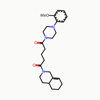 COc1ccccc1N1CCN(C(=O)CCCC(=O)N2CCC3CCCC=C3C2)CC1